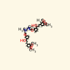 COc1ccc(CC[C@@H](O)c2cccc(OCCN(C)CCN(C)CCOc3cccc([C@H](O)CCc4ccc(OC)c(OC)c4)c3)c2)cc1OC